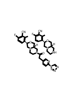 Cc1c([C@@H]2CN3CCN(C(=O)Cc4ccc(-n5cnnn5)nc4)C[C@H]3CO2)ccc(F)c1C#N.Cc1c([C@@H]2CN3CCNC[C@H]3CO2)ccc(F)c1C#N